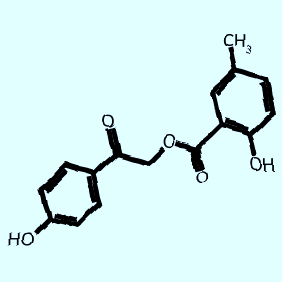 Cc1ccc(O)c(C(=O)OCC(=O)c2ccc(O)cc2)c1